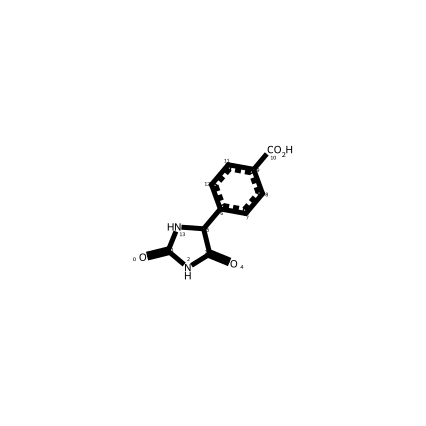 O=C1NC(=O)C(c2ccc(C(=O)O)cc2)N1